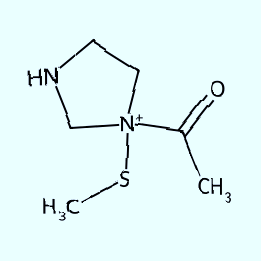 CS[N+]1(C(C)=O)CCNC1